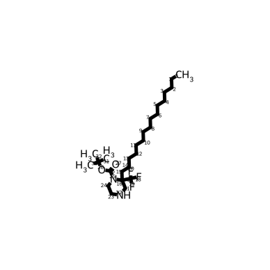 CCCCCCCCCCCCCCCCC1(C(F)(F)F)CNCCN1C(=O)OC(C)(C)C